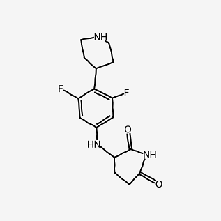 O=C1CCC(Nc2cc(F)c(C3CCNCC3)c(F)c2)C(=O)N1